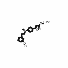 COCOc1cc(-c2ccc(N(C)CCc3cccc(OC(C)C)c3)cc2)on1